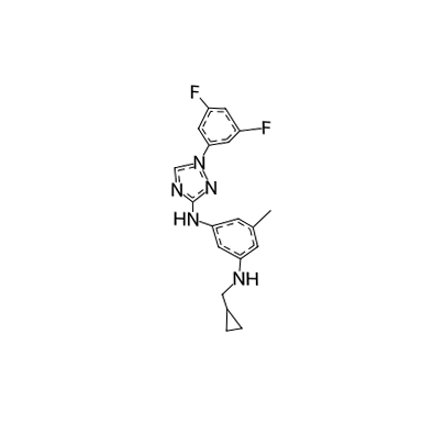 Cc1cc(NCC2CC2)cc(Nc2ncn(-c3cc(F)cc(F)c3)n2)c1